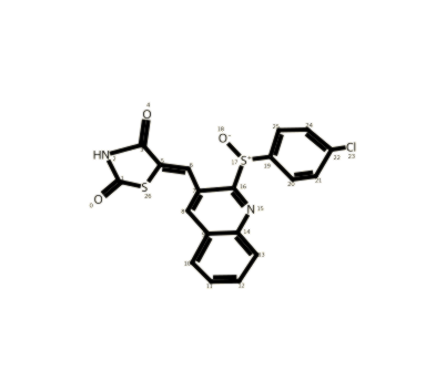 O=C1NC(=O)C(=Cc2cc3ccccc3nc2[S+]([O-])c2ccc(Cl)cc2)S1